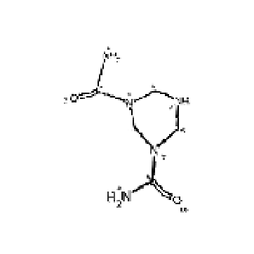 NC(=O)N1CNCN(C(N)=O)C1